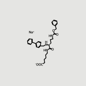 O=C([O-])CCCCCNC(=O)[C@H](CCCNC(=O)OCc1ccccc1)NCc1ccc(-c2ccccc2)cc1.[Na+]